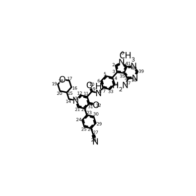 Cn1cc(-c2ccc(NC(=O)c3cn(CC4CCOCC4)cc(-c4ccc(C#N)cc4)c3=O)cc2)c2c(N)ncnc21